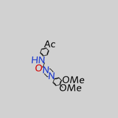 COc1ccc(N2CCN(C(=O)CNc3ccc(C(C)=O)cc3)CC2)cc1OC